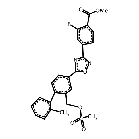 COC(=O)c1ccc(-c2noc(-c3ccc(-c4ccccc4C)c(COS(C)(=O)=O)c3)n2)cc1F